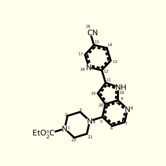 CCOC(=O)N1CCN(c2ccnc3[nH]c(-c4ccc(C#N)cn4)cc23)CC1